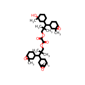 CC1(O)CCCC(C(C2CCC3OC3(C)C2)C(C)(C)COC(=O)C(=O)OCC(C)(C)C(C2CCC3OC3(C)C2)C2CCC3OC3(C)C2)C1